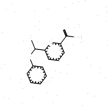 CC(Oc1ccccc1)c1cccc(C(=O)O)n1